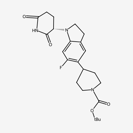 CC(C)(C)OC(=O)N1CCC(c2cc3c(cc2F)N([C@H]2CCC(=O)NC2=O)CC3)CC1